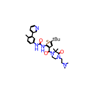 Cc1ccc(NC(=O)Nc2sc(C(C)(C)C)cc2C(=O)N2CCN(CCN(C)C)C(=O)C2(C)C)cc1-c1cccnc1